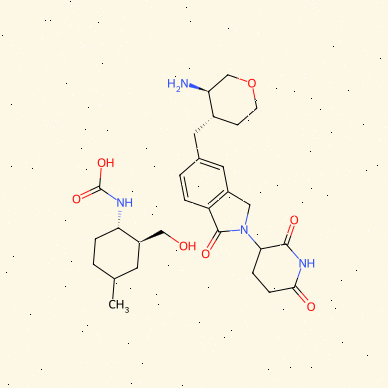 CC1CC[C@H](NC(=O)O)[C@@H](CO)C1.N[C@H]1COCC[C@@H]1Cc1ccc2c(c1)CN(C1CCC(=O)NC1=O)C2=O